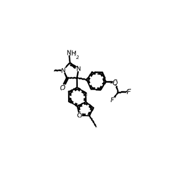 Cc1cc2cc(C3(c4ccc(OC(F)F)cc4)N=C(N)N(C)C3=O)ccc2o1